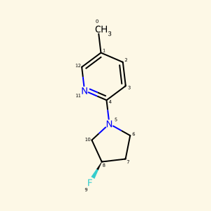 Cc1ccc(N2CC[C@@H](F)C2)nc1